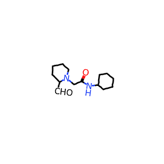 O=CC1CCCCN1CC(=O)NC1CCCCC1